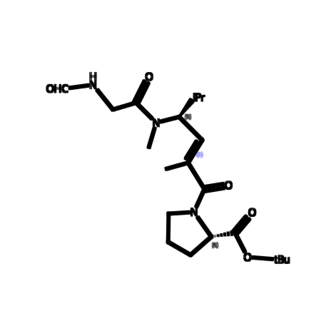 C/C(=C\[C@H](C(C)C)N(C)C(=O)CNC=O)C(=O)N1CCC[C@H]1C(=O)OC(C)(C)C